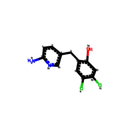 Nc1ccc(Cc2cc(Cl)c(Cl)cc2O)cn1